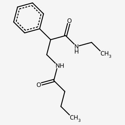 CCCC(=O)NCC(C(=O)NCC)c1ccccc1